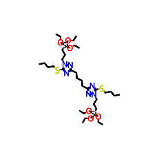 CCCCSc1nc(CCCCc2nc(SCCCC)n(CCC[Si](OCC)(OCC)OCC)n2)nn1CCC[Si](OCC)(OCC)OCC